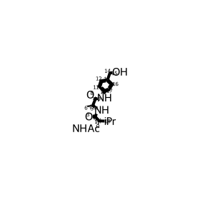 CC(=O)N[C@H](C(=O)N[C@@H](C)C(=O)Nc1ccc(CO)cc1)C(C)C